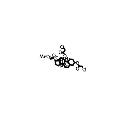 COCC(=O)[C@H]1CC[C@H]2[C@@H]3CCC4CC(OC(=O)CCl)CC[C@]4(C)[C@H]3C(OC(=O)CCl)C[C@]12C